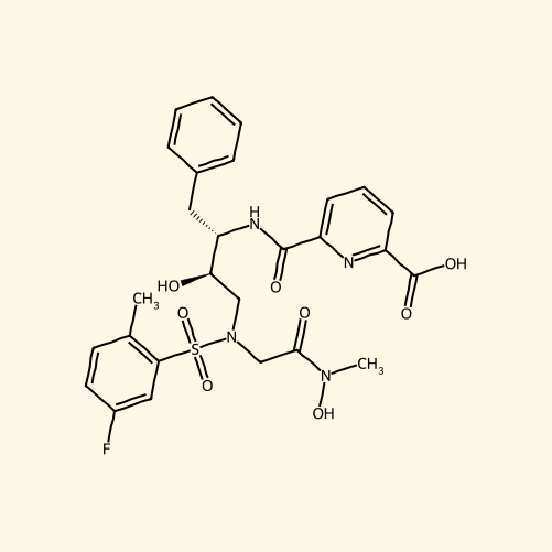 Cc1ccc(F)cc1S(=O)(=O)N(CC(=O)N(C)O)C[C@@H](O)[C@H](Cc1ccccc1)NC(=O)c1cccc(C(=O)O)n1